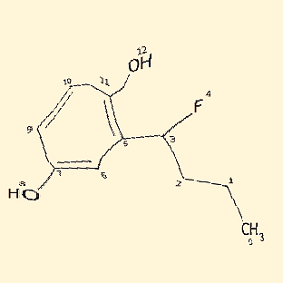 CCCC(F)c1cc(O)ccc1O